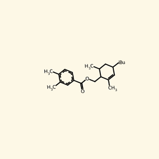 CCC(C)C1C=C(C)C(COC(=O)c2ccc(C)c(C)c2)C(C)C1